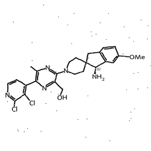 COc1ccc2c(c1)[C@@H](N)C1(CCN(c3nc(C)c(-c4ccnc(Cl)c4Cl)nc3CO)CC1)C2